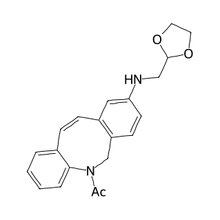 CC(=O)N1Cc2ccc(NCC3OCCO3)cc2/C=C\c2ccccc21